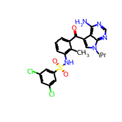 Cc1c(NS(=O)(=O)c2cc(Cl)cc(Cl)c2)cccc1C(=O)c1cn(C(C)C)c2ncnc(N)c12